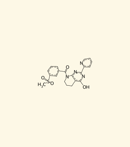 CS(=O)(=O)c1cccc(C(=O)N2CCCc3c(O)nc(-c4ccccn4)nc32)c1